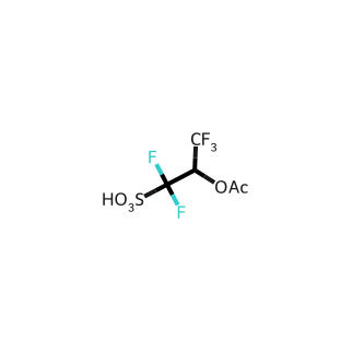 CC(=O)OC(C(F)(F)F)C(F)(F)S(=O)(=O)O